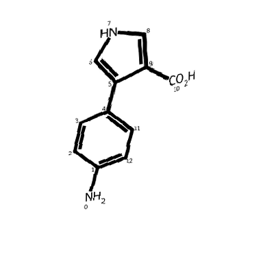 Nc1ccc(-c2c[nH]cc2C(=O)O)cc1